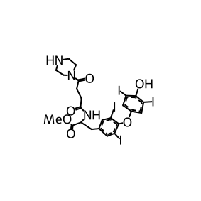 COC(=O)C(Cc1cc(I)c(Oc2cc(I)c(O)c(I)c2)c(I)c1)NC(=O)CCC(=O)N1CCNCC1